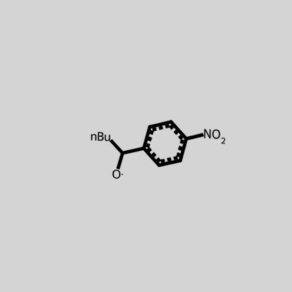 CCCCC([O])c1ccc([N+](=O)[O-])cc1